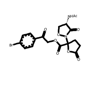 CC(=O)N[C@H]1CON(C2(C(=O)OCC(=O)c3ccc(Br)cc3)CCC(=O)O2)C1=O